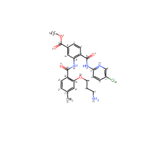 COC(=O)c1ccc(C(=O)Nc2ccc(Cl)cn2)c(NC(=O)c2ccc(C)cc2OCCCN)c1